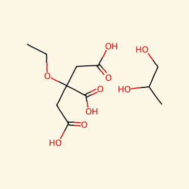 CC(O)CO.CCOC(CC(=O)O)(CC(=O)O)C(=O)O